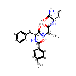 CC(C)C[C@H](NC(=O)[C@H](C)NC(=O)[C@H](Cc1ccccc1)NC(=O)c1ccc(C(C)(C)C)cc1)C(N)=O